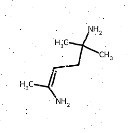 C/C(N)=C/CC(C)(C)N